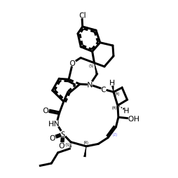 CCCC[C@H]1[C@H](C)C/C=C\C(O)[C@@H]2CC[C@H]2CN2C[C@@]3(CCCc4cc(Cl)ccc43)COc3ccc(cc32)C(=O)NS1(=O)=O